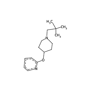 CC(C)(C)CN1CCC(Oc2ccccn2)CC1